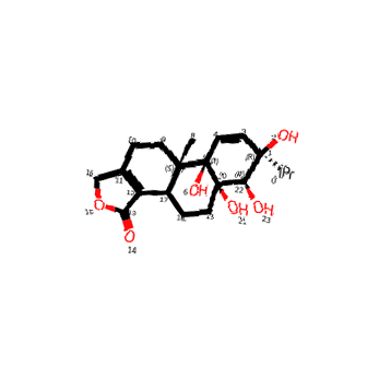 CC(C)[C@@]1(O)C=C[C@@]2(O)[C@@]3(C)CCC4=C(C(=O)OC4)C3CC[C@@]2(O)[C@@H]1O